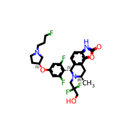 C[C@@H]1Cc2c(ccc3[nH]c(=O)oc23)[C@@H](c2c(F)cc(O[C@H]3CCN(CCCF)C3)cc2F)N1CC(F)(F)CO